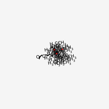 C[Si](C)(C)O[Si]12O[Si]3(O[Si](C)(C)C)O[Si]4(O[Si](C)(C)C)O[Si](O[Si](C)(C)C)(O1)O[Si]1(O[Si](C)(C)C)O[Si](O[Si](C)(C)C)(O2)O[Si](O[Si](C)(C)C)(O3)O[Si](O[Si](C)(C)CCCOCC2CO2)(O4)O1